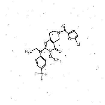 CCN(c1ccc(C(F)(F)F)cc1)c1nc2c(c(=O)n1OC)CN(C(=O)c1ccc(Cl)o1)CC2